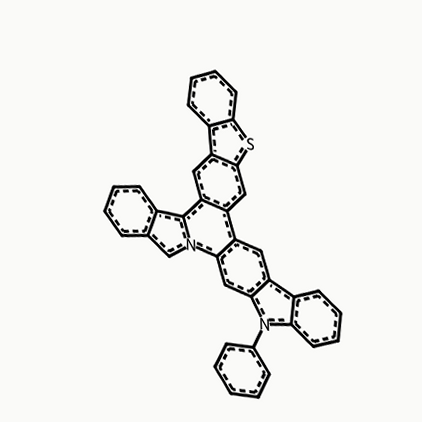 c1ccc(-n2c3ccccc3c3cc4c5cc6sc7ccccc7c6cc5c5c6ccccc6cn5c4cc32)cc1